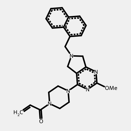 C=CC(=O)N1CCN(c2nc(OC)nc3c2CN(Cc2cccc4ccccc24)C3)CC1